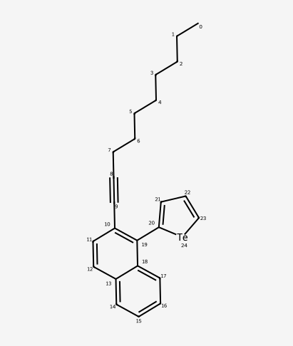 CCCCCCCCC#Cc1ccc2ccccc2c1-c1ccc[te]1